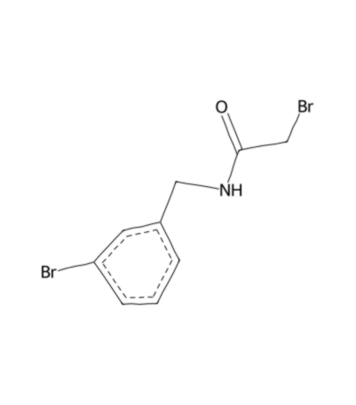 O=C(CBr)NCc1cccc(Br)c1